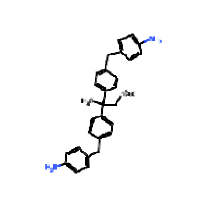 CCCCCCCCCCCC(C)(c1ccc(Cc2ccc(N)cc2)cc1)c1ccc(Cc2ccc(N)cc2)cc1